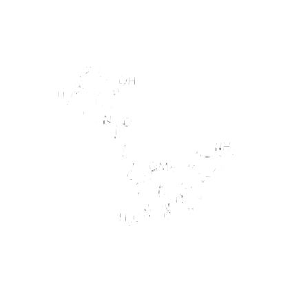 C=Nc1cc(OCCCCC(=O)N2CCc3c2cc(O)c2cccc(C)c32)c(OC)cc1C(=O)N1C=C(c2ccc(N)cc2)CC1